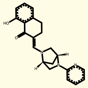 O=C1/C(=C/N2C[C@H]3C[C@@H]2CN3c2ccccn2)CCc2cccc(O)c21